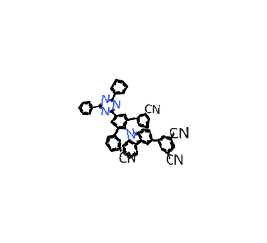 N#Cc1cc(C#N)cc(-c2ccc3c(c2)c2ccccc2n3-c2c(-c3cccc(C#N)c3)cc(-c3nc(-c4ccccc4)nc(-c4ccccc4)n3)cc2-c2cccc(C#N)c2)c1